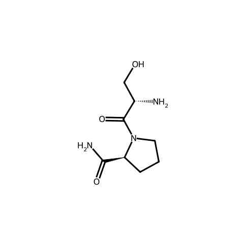 NC(=O)[C@@H]1CCCN1C(=O)[C@@H](N)CO